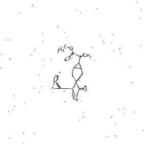 C=C(C(=O)OC)C1C2CC(C(=O)C3CO3)(C(=O)C3CO3)CC21